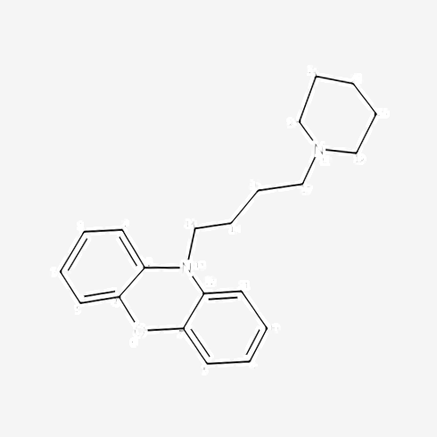 c1ccc2c(c1)Oc1ccccc1N2CCCCN1CCCCC1